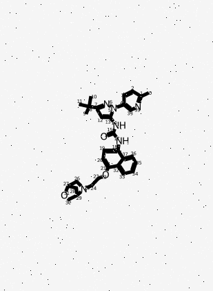 Cc1ccc(-n2nc(C(C)(C)C)cc2NC(=O)Nc2ccc(OCCN3CC4CC3CO4)c3ccccc23)cn1